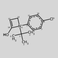 CC(C)(C)[N+]1(c2ccc(Cl)cc2)CC=C1O